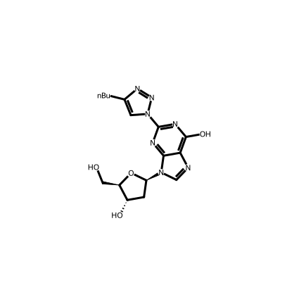 CCCCc1cn(-c2nc(O)c3ncn([C@H]4C[C@H](O)[C@@H](CO)O4)c3n2)nn1